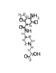 CC(=O)C(O)CCN1CCC(CNC(=O)c2cc(Cl)c(N)c3c2OCC3)CC1